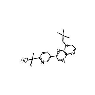 CC(C)(C)CN1CC=Nc2ncc(-c3ccc(C(C)(C)O)nc3)nc21